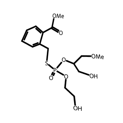 COCC(CO)OP(=O)(OCCO)SCc1ccccc1C(=O)OC